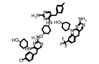 Cc1ccc(Cc2cnc(N)nc2N[C@H]2CC[C@H](O)CC2)cc1.Nc1ncc(Cc2ccc(C(F)(F)F)cc2)c(N[C@H]2CC[C@H](O)CC2)n1.Nc1ncc(Cc2ccc(Cl)cc2)c(N[C@H]2CC[C@H](O)CC2)n1